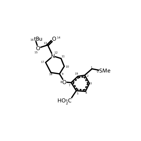 CSCc1ccc(C(=O)O)c(OC2CCN(C(=O)OC(C)(C)C)CC2)c1